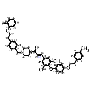 Cc1ccc(CCOc2ccc(Oc3c(C)cc(/C=C/C(=O)N4CCN(Cc5ccc(CCOc6ccccc6F)cc5)CC4)cc3Cl)nc2)cc1